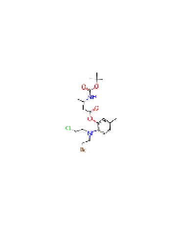 Cc1ccc(N(CCCl)CCBr)c(OC(=O)CC(C)NC(=O)OC(C)(C)C)c1